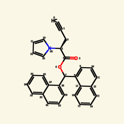 C#CC[C@@H](C(=O)OC(c1cccc2ccccc12)c1cccc2ccccc12)n1cccc1